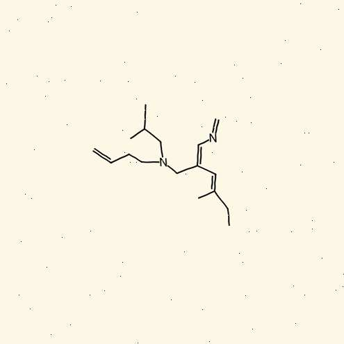 C=CCCN(CC(/C=C(\C)CC)=C/N=C)CC(C)C